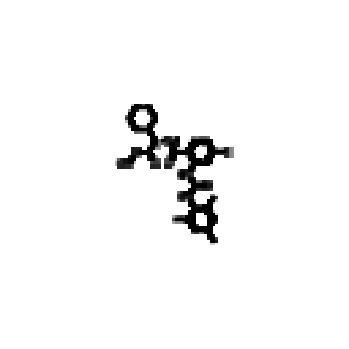 Cc1cc(C)c(NC(=O)Nc2cc(Cl)ccc2C(=O)N[C@H](C(=O)OC(C)(C)C)C2CCCCC2)c(C)c1